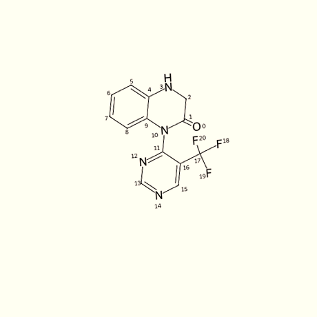 O=C1CNc2ccccc2N1c1ncncc1C(F)(F)F